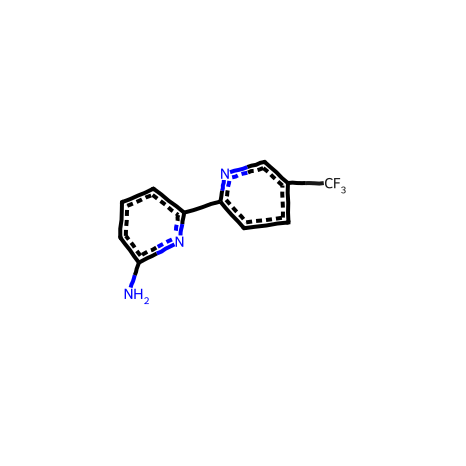 Nc1cccc(-c2ccc(C(F)(F)F)cn2)n1